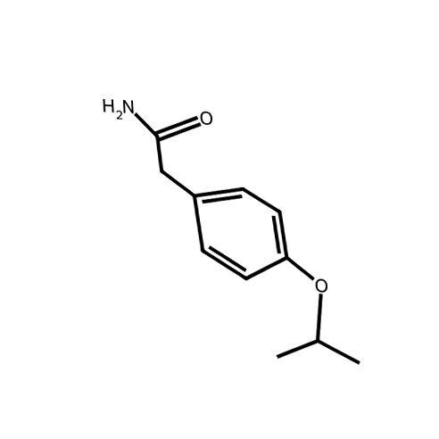 CC(C)Oc1ccc(CC(N)=O)cc1